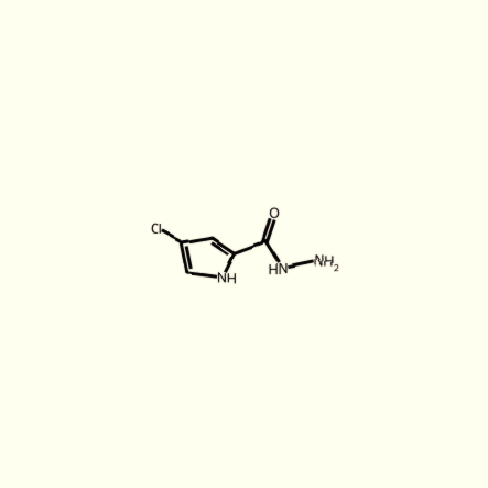 NNC(=O)c1cc(Cl)c[nH]1